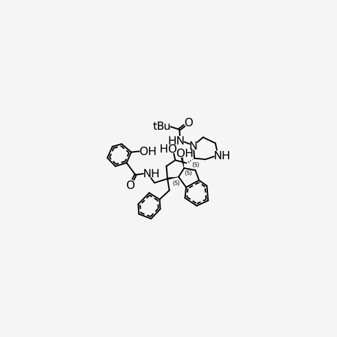 CC(C)(C)C(=O)NN1CCNC[C@@H]1CC(O)CC(CNC(=O)c1ccccc1O)(Cc1ccccc1)[C@@H]1c2ccccc2C[C@@H]1O